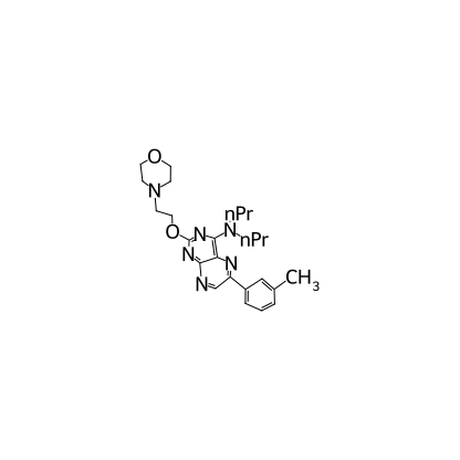 CCCN(CCC)c1nc(OCCN2CCOCC2)nc2ncc(-c3cccc(C)c3)nc12